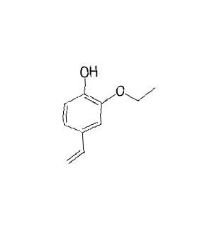 C=Cc1ccc(O)c(OCC)c1